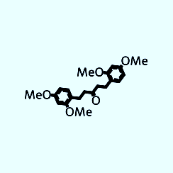 COc1ccc(CCC(=O)CCc2ccc(OC)cc2OC)c(OC)c1